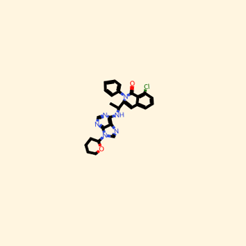 CC(Nc1ncnc2c1ncn2C1CCCCO1)c1cc2cccc(Cl)c2c(=O)n1-c1ccccc1